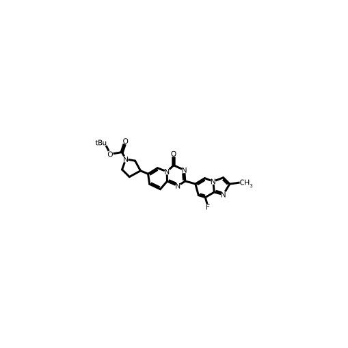 Cc1cn2cc(-c3nc(=O)n4cc(C5CCN(C(=O)OC(C)(C)C)C5)ccc4n3)cc(F)c2n1